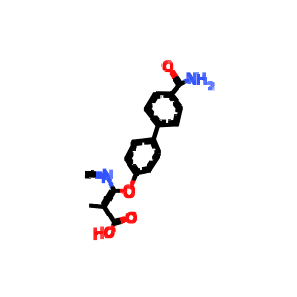 C=N/C(Oc1ccc(-c2ccc(C(N)=O)cc2)cc1)=C(\C)C(=O)O